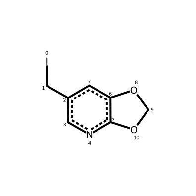 ICc1cnc2c(c1)OCO2